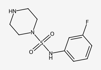 O=S(=O)(Nc1cccc(F)c1)N1CCNCC1